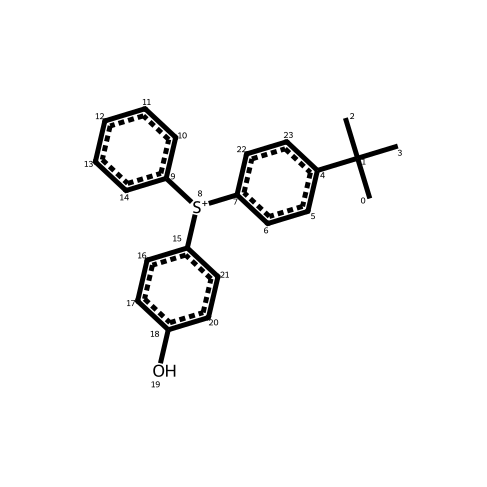 CC(C)(C)c1ccc([S+](c2ccccc2)c2ccc(O)cc2)cc1